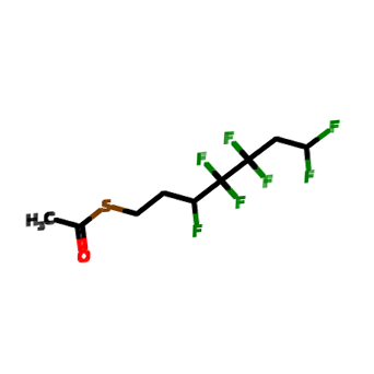 CC(=O)SCCC(F)C(F)(F)C(F)(F)CC(F)F